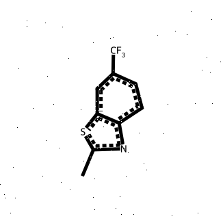 Cc1nc2ccc(C(F)(F)F)cc2s1